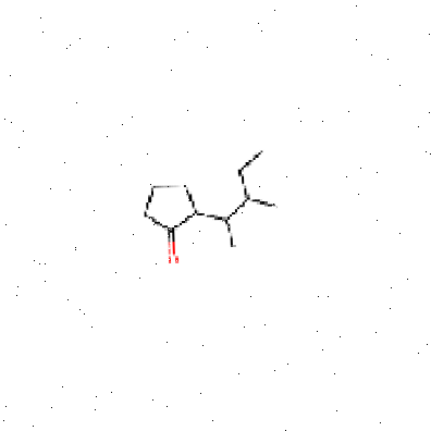 CCC(C)C(C)C1CCCC1=O